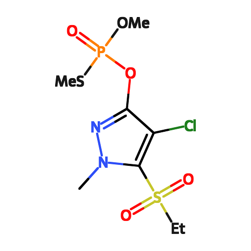 CCS(=O)(=O)c1c(Cl)c(OP(=O)(OC)SC)nn1C